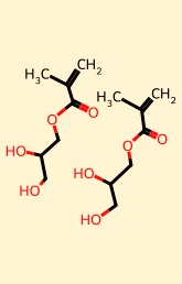 C=C(C)C(=O)OCC(O)CO.C=C(C)C(=O)OCC(O)CO